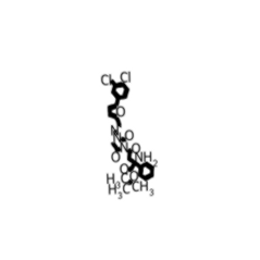 CC(C)(C)OC(=O)C(N)(CC(=O)N1C(=O)CN(N=Cc2ccc(-c3ccc(Cl)c(Cl)c3)o2)C1=O)c1ccccc1